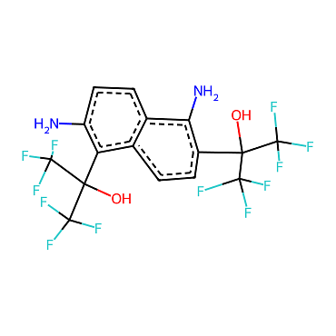 Nc1ccc2c(N)c(C(O)(C(F)(F)F)C(F)(F)F)ccc2c1C(O)(C(F)(F)F)C(F)(F)F